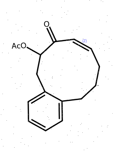 CC(=O)OC1Cc2ccccc2C[CH]C/C=C\C1=O